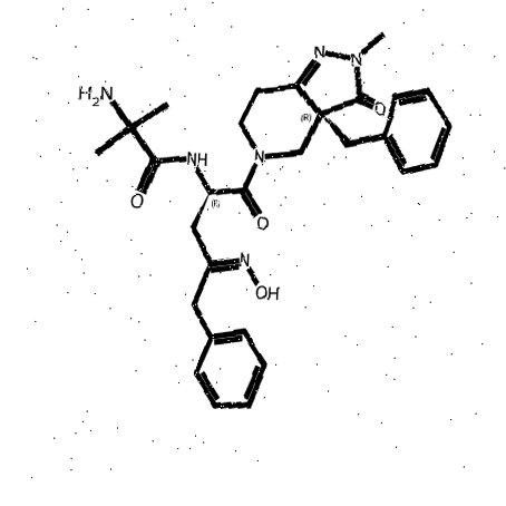 CN1N=C2CCN(C(=O)[C@@H](CC(Cc3ccccc3)=NO)NC(=O)C(C)(C)N)C[C@@]2(Cc2ccccc2)C1=O